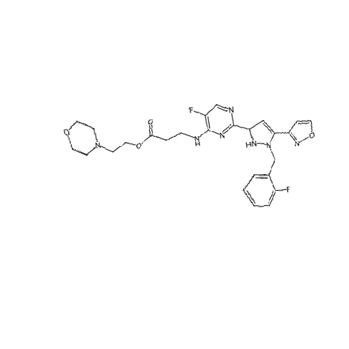 O=C(CCNc1nc(C2C=C(c3ccon3)N(Cc3ccccc3F)N2)ncc1F)OCCN1CCOCC1